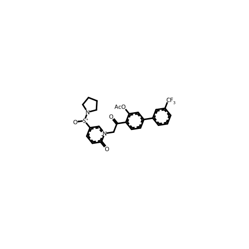 CC(=O)Oc1cc(-c2cccc(C(F)(F)F)c2)ccc1C(=O)Cn1cc([S+]([O-])N2CCCC2)ccc1=O